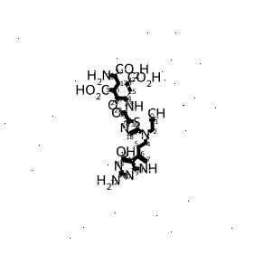 C#CCN(CCc1c[nH]c2nc(N)nc(O)c12)c1cnc(C(=O)N[C@@H](CCC(=O)O)C(=O)C(C[C@H](N)C(=O)O)C(=O)O)s1